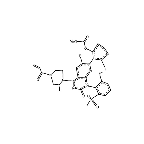 C=CC(=O)N1CCN(c2nc(=O)n(-c3c(C(C)C)cccc3S(C)(=O)=O)c3nc(-c4c(F)cccc4OC(=O)NC)c(F)cc23)[C@@H](C)C1